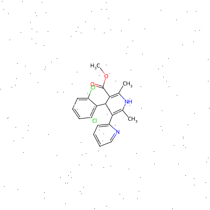 COC(=O)C1=C(C)NC(C)=C(c2ccccn2)C1c1c(Cl)cccc1Cl